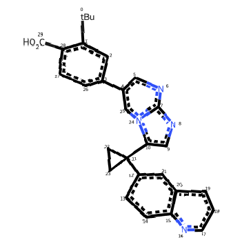 CC(C)(C)c1cc(-c2cnc3ncc(C4(c5ccc6ncccc6c5)CC4)n3c2)ccc1C(=O)O